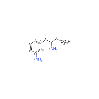 Nc1cccc(CC(N)CC(=O)O)c1